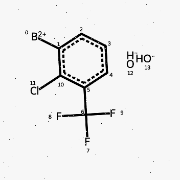 [B+2]c1cccc(C(F)(F)F)c1Cl.[OH-].[OH-]